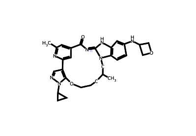 Cc1cc2cc(n1)-c1cnn(C3CC3)c1OCCCC(C)CN1/C(=N/C2=O)Nc2cc(NC3COC3)ccc21